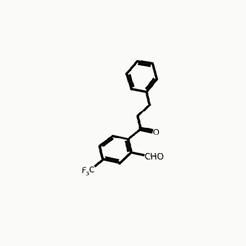 O=Cc1cc(C(F)(F)F)ccc1C(=O)CCc1ccccc1